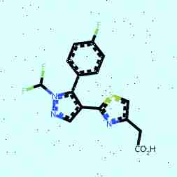 O=C(O)Cc1csc(-c2cnn(C(F)F)c2-c2ccc(F)cc2)n1